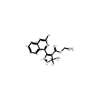 CCOC(=O)C1=C(c2nc(I)cc3ccccc23)N=NC1(S)I